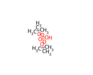 CC(C)(C)OOP(=O)(O)OOC(C)(C)C